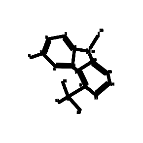 Cc1ccc2c(c1)c1c(C(C)(C)C)cccc1n2I